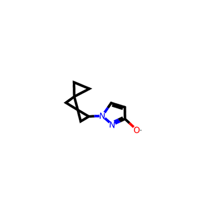 [O]c1ccn(C2CC23CC32CC2)n1